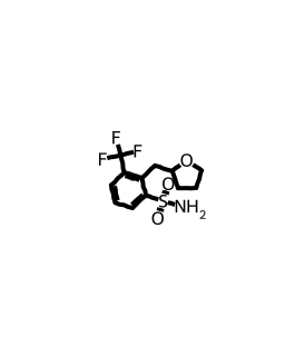 NS(=O)(=O)c1cccc(C(F)(F)F)c1CC1CCCO1